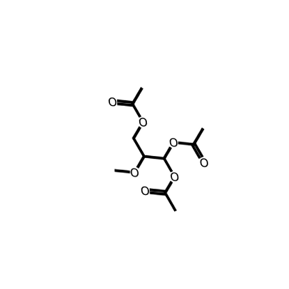 COC(COC(C)=O)C(OC(C)=O)OC(C)=O